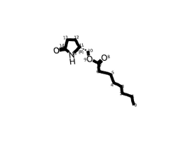 CCCCCCCC(=O)OC[C@H]1CCC(=O)N1